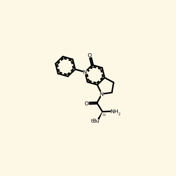 CC(C)(C)[C@H](N)C(=O)N1CCc2cc(=O)n(-c3ccccc3)cc21